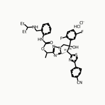 CCC(CC)NCc1ccccc1NC(=O)OC(C)C1=NN(C[C@](O)(c2cc(F)ccc2F)[C@@H](C)c2nc(-c3ccc(C#N)cc3)cs2)C=[N+]1.Cl.[Cl-]